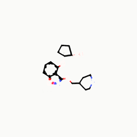 Cl.O[C@H]1CCC[C@H]1Oc1cccc2onc(OCC3CCNCC3)c12